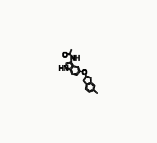 CC(=O)Nc1c[nH]c2ccc(OC3Cc4ccc(C)cc4C3)cc12